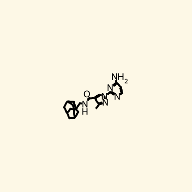 Cc1nn(-c2nccc(N)n2)cc1C(=O)NCC12CC3CC(CC(C3)C1)C2